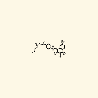 CCCCN(C)CCN(C)c1ccc(NC=C2C(=O)NC(=O)c3ccc(Br)cc32)cc1